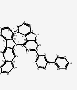 CC1CC=Cc2sc3nc(-c4cccc(-c5ccccc5)c4)nc(-n4c5ccccc5c5cc6ccccc6cc54)c3c21